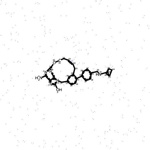 Nc1nc2nc3c1nc(O)n3Cc1ccc(-c3ccc(CNC4C5CC4C5)cc3)c(c1)C/C=C\CCO2